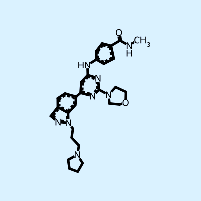 CNC(=O)c1ccc(Nc2cc(-c3ccc4cnn(CCCN5CCCC5)c4c3)nc(N3CCOCC3)n2)cc1